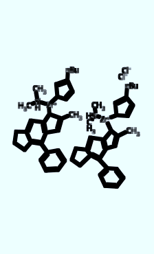 CCCCC1=C[CH]([Zr+]([CH]2C(C)=Cc3c2cc2c(c3-c3ccccc3)CCC2)[SiH](C)C)C=C1.CCCCC1=C[CH]([Zr+]([CH]2C(C)=Cc3c2cc2c(c3-c3ccccc3)CCC2)[SiH](C)C)C=C1.[Cl-].[Cl-]